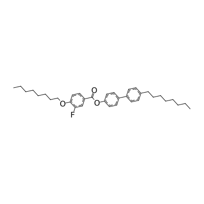 CCCCCCCCOc1ccc(C(=O)Oc2ccc(-c3ccc(CCCCCCCC)cc3)cc2)cc1F